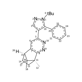 CC(C)(C)n1ncc(-c2cc3c(nn2)[C@@]2(C)CC[C@@H]3C2(C)C)c1-c1ccccc1